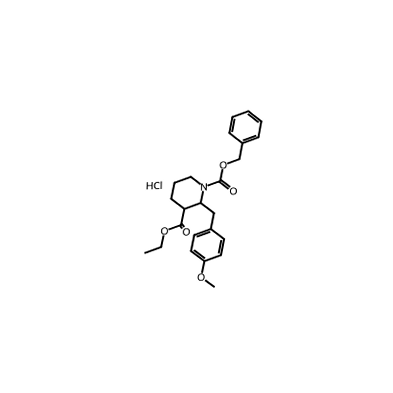 CCOC(=O)C1CCCN(C(=O)OCc2ccccc2)C1Cc1ccc(OC)cc1.Cl